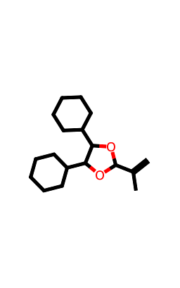 C=C(C)C1OC(C2CCCCC2)C(C2CCCCC2)O1